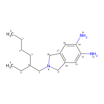 CCCCC(CC)CN1Cc2cc(N)c(N)cc2C1